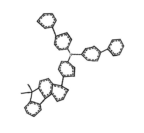 CC1(C)c2ccccc2-c2c1ccc1c(-c3ccc(N(c4ccc(-c5ccccc5)cc4)c4ccc(-c5ccccc5)cc4)cc3)cccc21